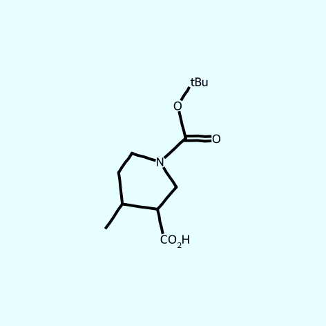 CC1CCN(C(=O)OC(C)(C)C)CC1C(=O)O